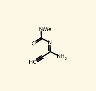 C#C/C(N)=N\C(=O)NC